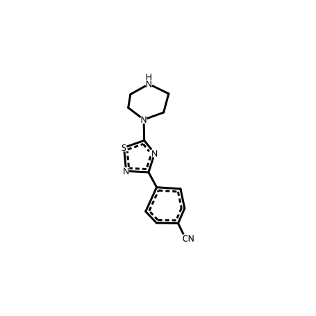 N#Cc1ccc(-c2nsc(N3CCNCC3)n2)cc1